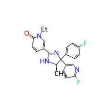 CCn1cc(C2=NC(c3ccc(F)cc3)(c3ccc(F)nc3)C(C)N2)ccc1=O